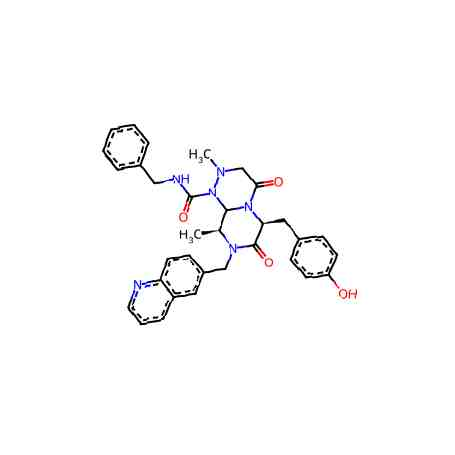 C[C@H]1C2N(C(=O)CN(C)N2C(=O)NCc2ccccc2)[C@@H](Cc2ccc(O)cc2)C(=O)N1Cc1ccc2ncccc2c1